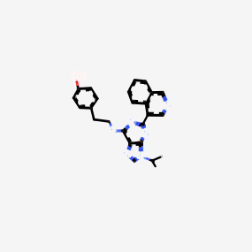 CC(C)n1cnc2c(NCCc3ccc(O)cc3)nc(-c3cncc4ccccc34)nc21